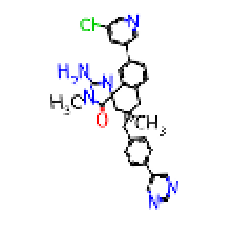 CN1C(=O)C2(C[C@@](C)(Cc3ccc(-c4cncnc4)cc3)Cc3ccc(-c4cncc(Cl)c4)cc32)N=C1N